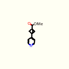 COC(=O)C12CC(c3ccncc3)(C1)C2